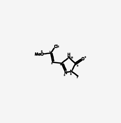 COC(Cl)=Cc1nn(C)c(=O)[nH]1